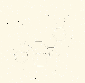 O=C(c1ccc(Cl)cc1)N1CC[C@@](O)(c2ccccc2)[C@@H]2CCCC[C@@H]21